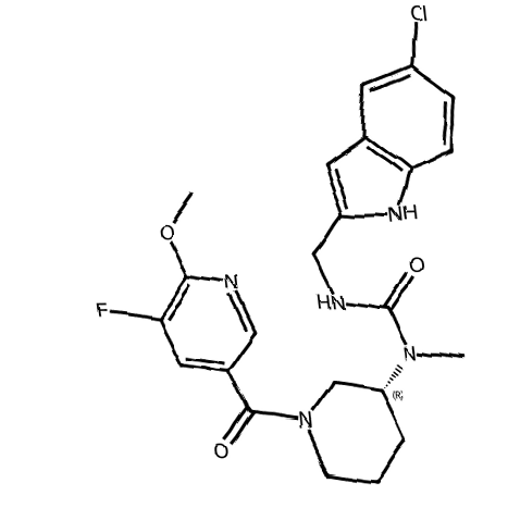 COc1ncc(C(=O)N2CCC[C@@H](N(C)C(=O)NCc3cc4cc(Cl)ccc4[nH]3)C2)cc1F